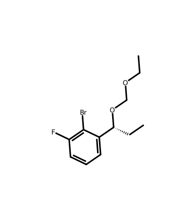 CCOCO[C@H](CC)c1cccc(F)c1Br